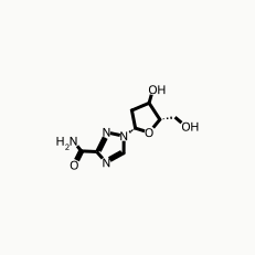 NC(=O)c1ncn([C@@H]2CC(O)[C@H](CO)O2)n1